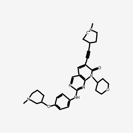 CN1CCC(C#Cc2cc3cnc(Nc4ccc(OC5CCCN(C)C5)cc4)nc3n(C3CCOCC3)c2=O)CC1